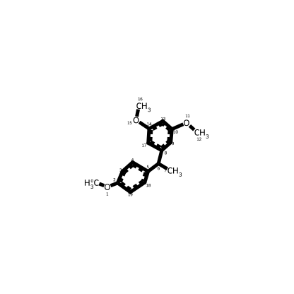 COc1ccc(C(C)c2cc(OC)cc(OC)c2)cc1